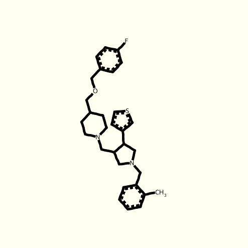 Cc1ccccc1CN1CC(CN2CCC(COCc3ccc(F)cc3)CC2)C(c2ccsc2)C1